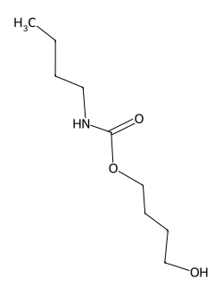 CCCCNC(=O)OCCCCO